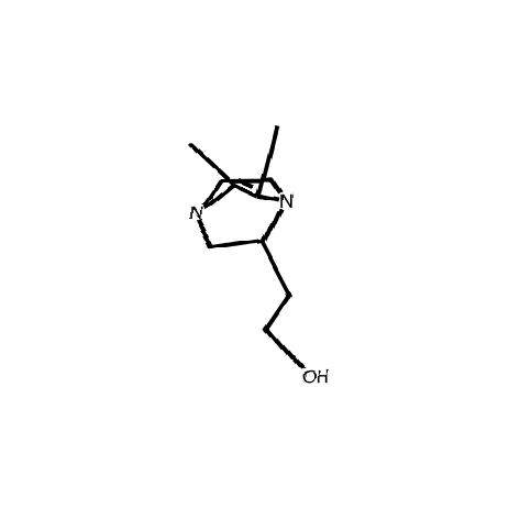 CC1=C(C)N2CCN1CC2CCO